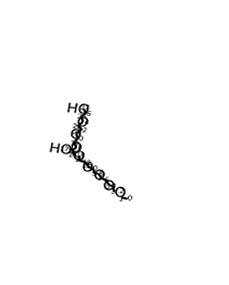 CCOCCOCCOCCOCCOCC(O)OCCOCCOCCO